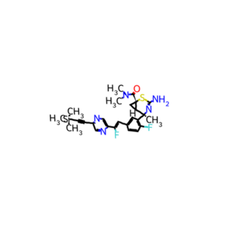 CN(C)C(=O)[C@]12C[C@H]1[C@@](C)(c1cc(/C=C(\F)c3cnc(C#C[Si](C)(C)C)cn3)ccc1F)N=C(N)S2